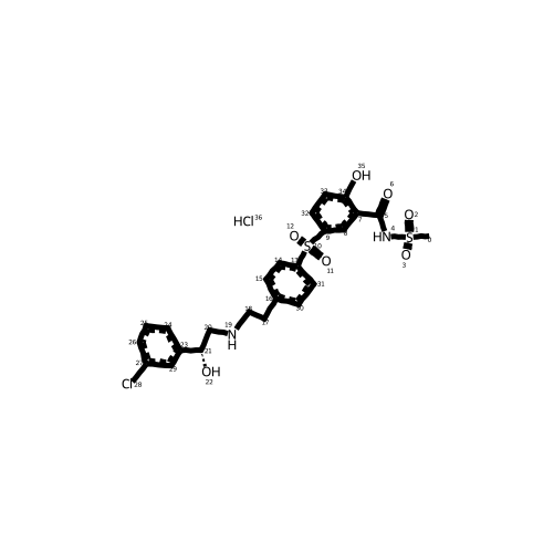 CS(=O)(=O)NC(=O)c1cc(S(=O)(=O)c2ccc(CCNC[C@H](O)c3cccc(Cl)c3)cc2)ccc1O.Cl